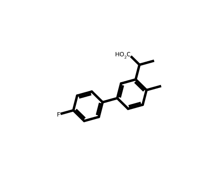 Cc1ccc(-c2ccc(F)cc2)cc1C(C)C(=O)O